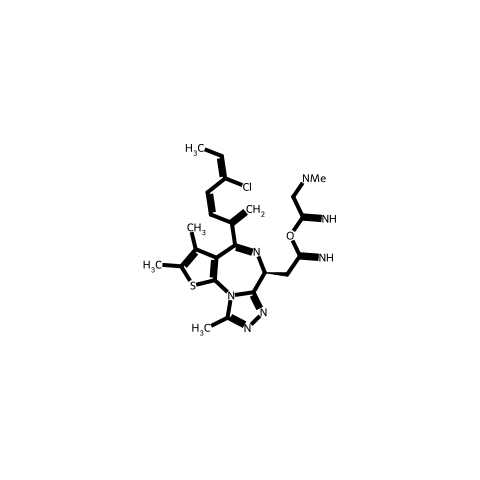 C=C(/C=C\C(Cl)=C/C)C1=N[C@@H](CC(=N)OC(=N)CNC)c2nnc(C)n2-c2sc(C)c(C)c21